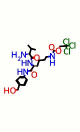 CC(C)[C@H](N)C(=O)N[C@@H](CCCCNC(=O)OCC(Cl)(Cl)Cl)C(=O)Nc1ccc(CO)cc1